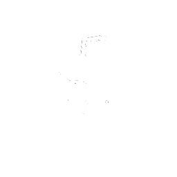 CCCN1c2nnc(SC)n2-c2c(F)cccc2C2OC21